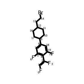 FC=C(F)c1c(F)cc(C2CCC(CCBr)CC2)cc1F